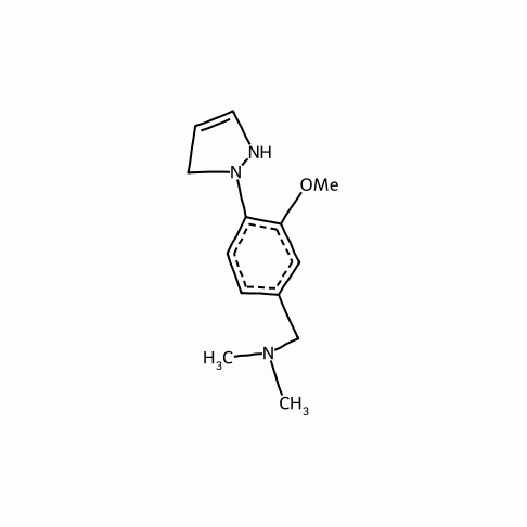 COc1cc(CN(C)C)ccc1N1CC=CN1